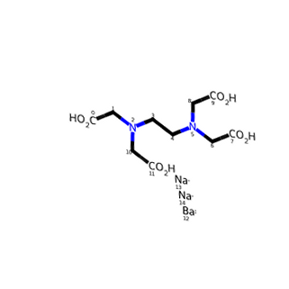 O=C(O)CN(CCN(CC(=O)O)CC(=O)O)CC(=O)O.[Ba].[Na].[Na]